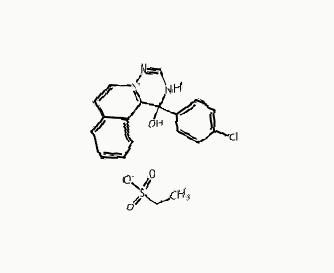 CCS(=O)(=O)[O-].OC1(c2ccc(Cl)cc2)NC=N[n+]2ccc3ccccc3c21